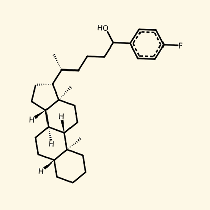 C[C@H](CCCC(O)c1ccc(F)cc1)[C@H]1CC[C@H]2[C@@H]3CC[C@H]4CCCC[C@]4(C)[C@H]3CC[C@]12C